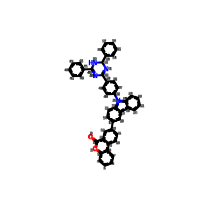 O=c1oc2ccccc2c2ccc(-c3ccc4c(c3)c3ccccc3n4-c3ccc(C4=NC(c5ccccc5)NC(c5ccccc5)=N4)cc3)cc12